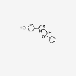 O=C(Nc1nc(-c2ccc(O)cc2)cs1)c1ccccc1